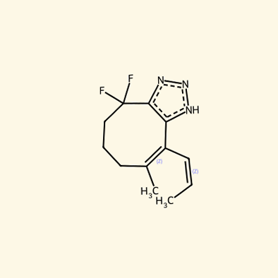 C/C=C\C1=C(/C)CCCC(F)(F)c2nn[nH]c21